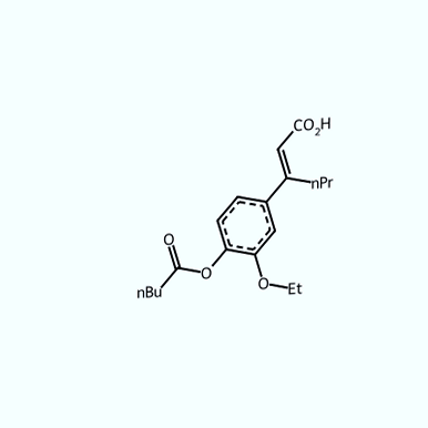 CCCCC(=O)Oc1ccc(C(=CC(=O)O)CCC)cc1OCC